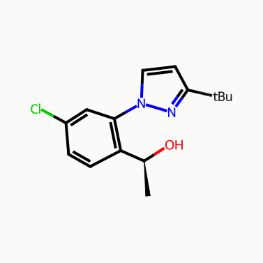 C[C@H](O)c1ccc(Cl)cc1-n1ccc(C(C)(C)C)n1